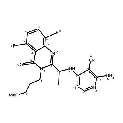 COCCCn1c(C(C)Nc2ncnc(N)c2C#N)nc2c(F)ccc(F)c2c1=O